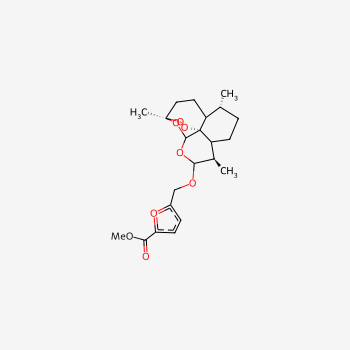 COC(=O)c1ccc(COC2OC3O[C@]4(C)CCC5[C@H](C)CCC([C@H]2C)[C@@]35OO4)o1